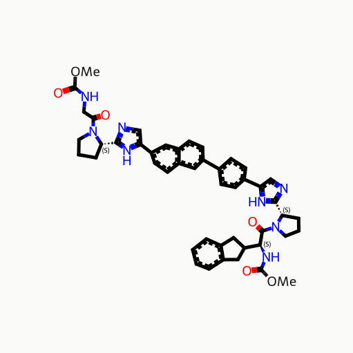 COC(=O)NCC(=O)N1CCC[C@H]1c1ncc(-c2ccc3cc(-c4ccc(-c5cnc([C@@H]6CCCN6C(=O)[C@@H](NC(=O)OC)C6Cc7ccccc7C6)[nH]5)cc4)ccc3c2)[nH]1